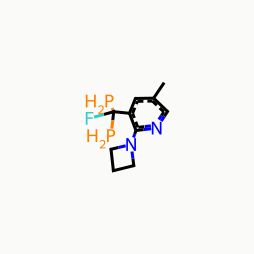 Cc1cnc(N2CCC2)c(C(F)(P)P)c1